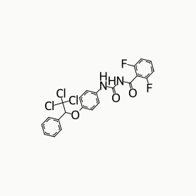 O=C(NC(=O)c1c(F)cccc1F)Nc1ccc(OC(c2ccccc2)C(Cl)(Cl)Cl)cc1